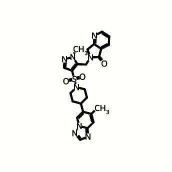 Cc1cc2ncnn2cc1C1CCN(S(=O)(=O)c2cnn(C)c2CN2Cc3ncccc3C2=O)CC1